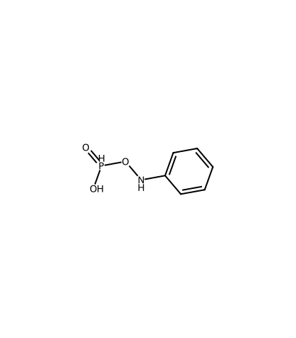 O=[PH](O)ONc1ccccc1